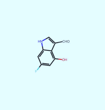 O=Cc1c[nH]c2cc(F)cc(O)c12